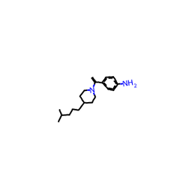 C=C(c1ccc(N)cc1)N1CCC(CCCC(C)C)CC1